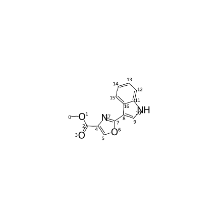 COC(=O)c1coc(-c2c[nH]c3ccccc23)n1